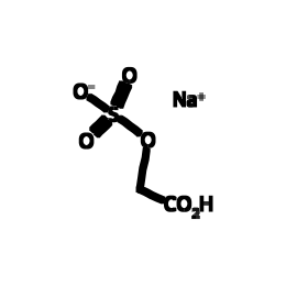 O=C(O)COS(=O)(=O)[O-].[Na+]